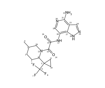 CC1CCC(C2(C(F)(F)F)CC2)N(C(=O)C(=O)Nc2cnc(N)c3cn[nH]c23)C1